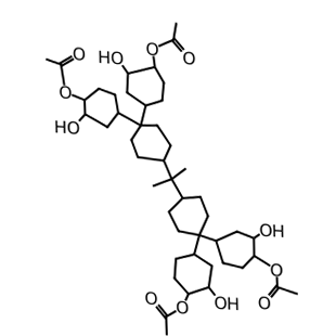 CC(=O)OC1CCC(C2(C3CCC(OC(C)=O)C(O)C3)CCC(C(C)(C)C3CCC(C4CCC(OC(C)=O)C(O)C4)(C4CCC(OC(C)=O)C(O)C4)CC3)CC2)CC1O